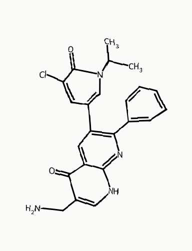 CC(C)n1cc(-c2cc3c(=O)c(CN)c[nH]c3nc2-c2ccccc2)cc(Cl)c1=O